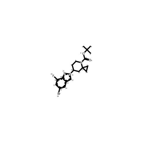 CC(C)(C)OC(=O)N1CCC(n2cc3cc(Br)cc(F)c3n2)CC12CC2